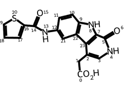 O=C(O)Cc1c[nH]c(=O)c2[nH]c3ccc(NC(=O)c4cccs4)cc3c12